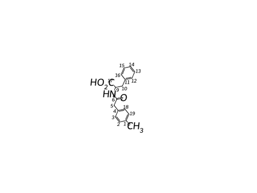 Cc1ccc(CC(=O)NC(Cc2ccccc2)C(=O)O)cc1